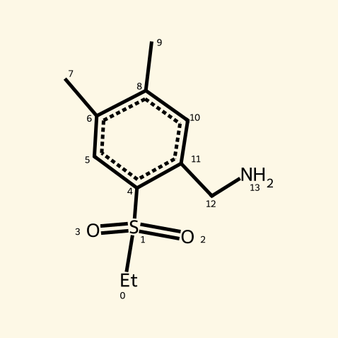 CCS(=O)(=O)c1cc(C)c(C)cc1CN